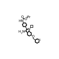 CC(C)OC(=O)Nc1ccc(-c2c(N)c3ccc(OCc4cccnc4)cc3n2C2CCC2)cc1